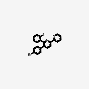 Brc1ccc(-c2ccc(-c3ccccn3)nc2-c2ccccc2Br)cc1